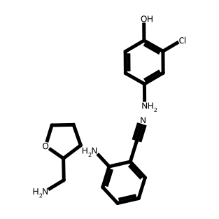 N#Cc1ccccc1N.NCC1CCCO1.Nc1ccc(O)c(Cl)c1